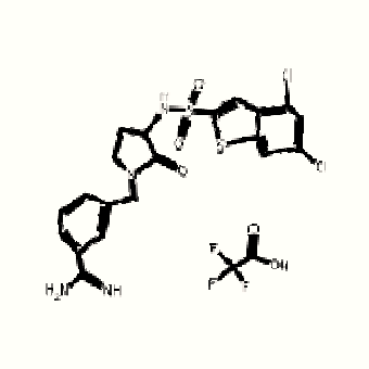 N=C(N)c1cccc(CN2CCC(NS(=O)(=O)c3cc4c(Cl)cc(Cl)cc4s3)C2=O)c1.O=C(O)C(F)(F)F